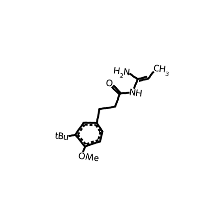 CC=C(N)NC(=O)CCc1ccc(OC)c(C(C)(C)C)c1